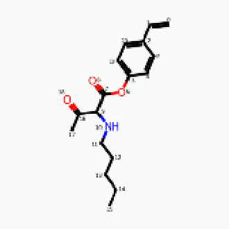 C=Cc1ccc(OC(=O)C(NCCCCC)C(C)=O)cc1